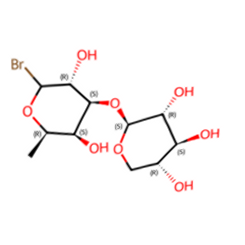 C[C@H]1OC(Br)[C@H](O)[C@@H](O[C@@H]2OC[C@@H](O)[C@H](O)[C@H]2O)[C@H]1O